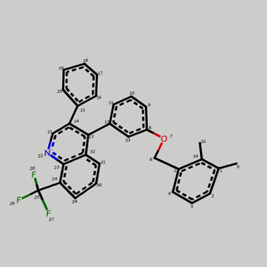 Cc1cccc(COc2cccc(-c3c(-c4ccccc4)cnc4c(C(F)(F)F)cccc34)c2)c1C